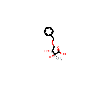 C[C@@](O)(C(=O)O)[C@H](O)COCc1ccccc1